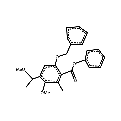 COc1c(C(C)OC)cc(OCc2ccccc2)c(C(=O)Oc2ccccc2)c1C